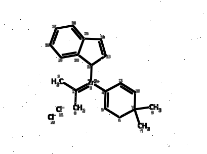 C[C](C)=[Zr+2]([C]1=CCC(C)(C)C=C1)[CH]1C=Cc2ccccc21.[Cl-].[Cl-]